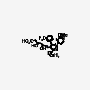 COc1nccc(-n2nc(C(C)C)c(/C=C/[C@@H](O)C[C@@H](O)CC(=O)O)c2-c2cccc(C(F)(F)F)c2)n1.[CaH2]